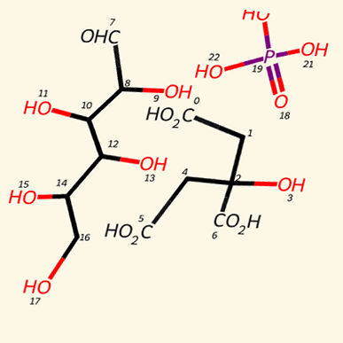 O=C(O)CC(O)(CC(=O)O)C(=O)O.O=CC(O)C(O)C(O)C(O)CO.O=P(O)(O)O